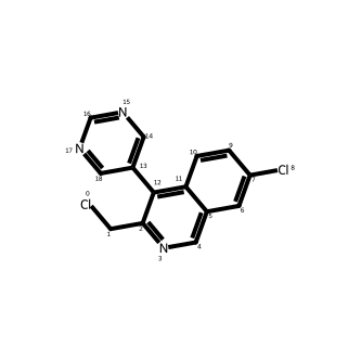 ClCc1ncc2cc(Cl)ccc2c1-c1cncnc1